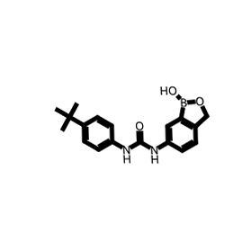 CC(C)(C)c1ccc(NC(=O)Nc2ccc3c(c2)B(O)OC3)cc1